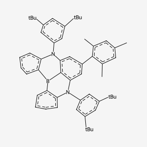 Cc1cc(C)c(-c2cc3c4c(c2)N(c2cc(C(C)(C)C)cc(C(C)(C)C)c2)c2ccccc2B4c2ccccc2N3c2cc(C(C)(C)C)cc(C(C)(C)C)c2)c(C)c1